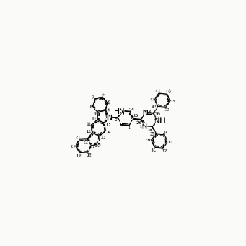 C1=CC(n2c3ccccc3c3cc4c(cc32)sc2ccccc24)NC=C1C1=NC(c2ccccc2)NC(c2ccccc2)=N1